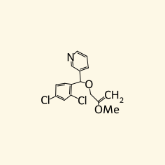 C=C(COC(c1cccnc1)c1ccc(Cl)cc1Cl)OC